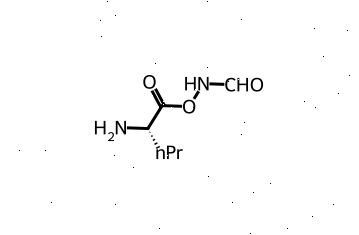 CCC[C@H](N)C(=O)ONC=O